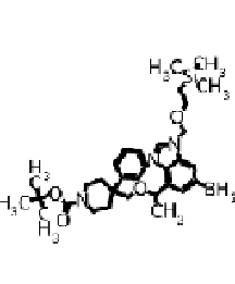 Bc1cc(C(C)OCC2(c3ccccc3)CCN(C(=O)OC(C)(C)C)CC2)c2ncn(COCC[Si](C)(C)C)c2c1